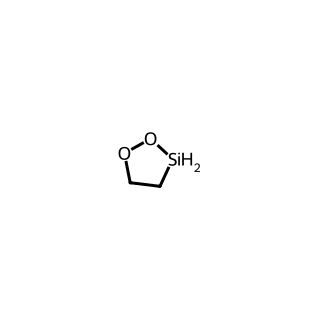 C1C[SiH2]OO1